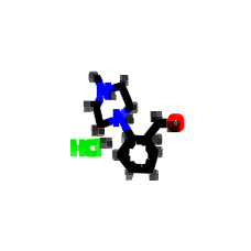 CN1CCN(c2ccccc2C=O)CC1.Cl